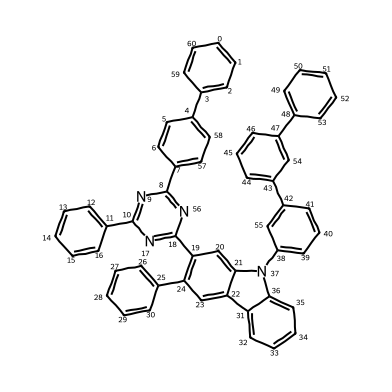 c1ccc(-c2ccc(-c3nc(-c4ccccc4)nc(-c4cc5c(cc4-c4ccccc4)c4ccccc4n5-c4cccc(-c5cccc(-c6ccccc6)c5)c4)n3)cc2)cc1